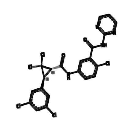 O=C(Nc1ncccn1)c1cc(NC(=O)[C@@H]2[C@@H](c3cc(Cl)cc(Cl)c3)C2(Cl)Cl)ccc1Cl